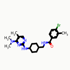 Cc1cc(C(=O)NCC2CCC(Nc3ncc(C)c(N(C)C)n3)CC2)ccc1Br